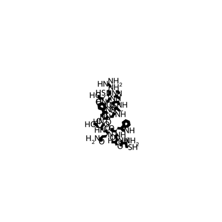 CC(C)[C@H](NC(=O)[C@@H](N)CS)C(=O)N[C@@H](Cc1c[nH]c2ccccc12)C(=O)N[C@@H](CCC(N)=O)C(=O)N[C@@H](CC(=O)O)C(=O)N[C@@H](Cc1c[nH]c2ccccc12)C(=O)NCC(=O)N[C@@H](C)C(=O)N[C@@H](Cc1c[nH]cn1)C(=O)N[C@@H](CCCNC(=N)N)C(=O)N[C@@H](CS)C(=O)O